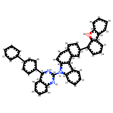 c1ccc(-c2ccc(-c3nc(-n4c5ccccc5c5c6cc(-c7cccc8c7oc7ccccc78)ccc6ccc54)nc4ccccc34)cc2)cc1